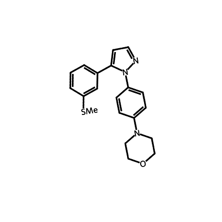 CSc1cccc(-c2ccnn2-c2ccc(N3CCOCC3)cc2)c1